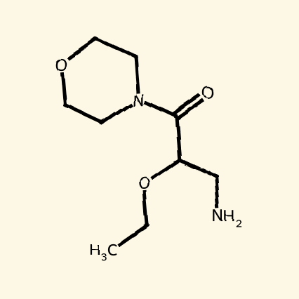 CCOC(CN)C(=O)N1CCOCC1